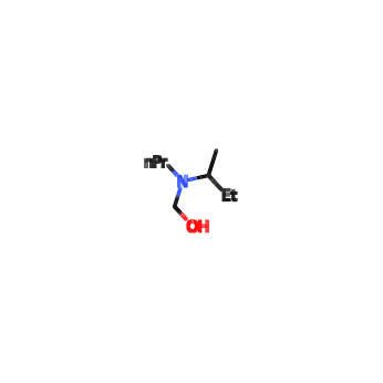 CCCN(CO)C(C)CC